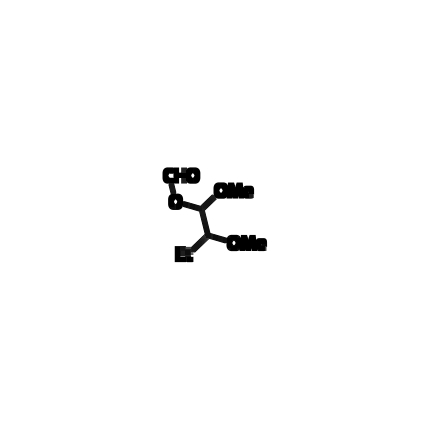 CCC(OC)C(OC)OC=O